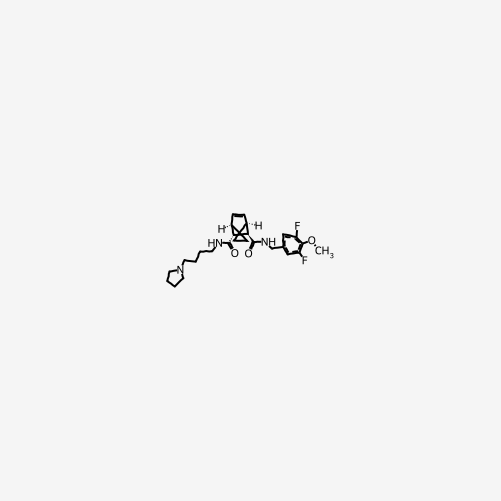 COc1c(F)cc(CNC(=O)[C@H]2[C@H](C(=O)NCCCCN3CCCC3)[C@H]3C=C[C@@H]2C32CC2)cc1F